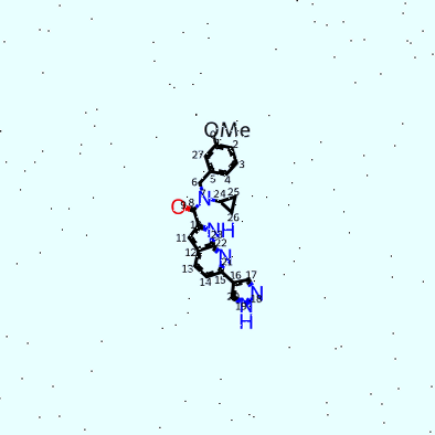 COc1cccc(CN(C(=O)c2cc3ccc(-c4cn[nH]c4)nc3[nH]2)C2CC2)c1